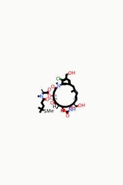 CSC(C)(C)CCC(=O)N(C)[C@@H](C)C(=O)O[C@H]1CC(=O)N(C)c2cc(cc(CO)c2Cl)C/C(C)=C/C=C/[C@@H](CO)[C@@]2(O)C[C@H](OC(=O)N2)[C@@H](C)[C@@H]2O[C@@]12C